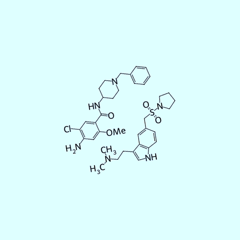 CN(C)CCc1c[nH]c2ccc(CS(=O)(=O)N3CCCC3)cc12.COc1cc(N)c(Cl)cc1C(=O)NC1CCN(Cc2ccccc2)CC1